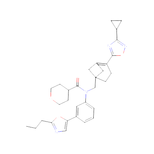 CCCc1ncc(-c2cccc(N(CC34CCC(c5nc(C6CC6)no5)=C(C3)C4)C(=O)C3CCOCC3)c2)o1